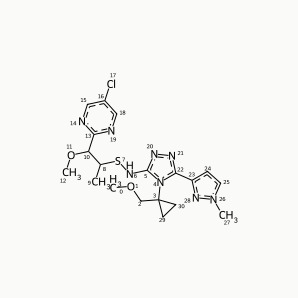 COCC1(n2c(NSC(C)C(OC)c3ncc(Cl)cn3)nnc2-c2ccn(C)n2)CC1